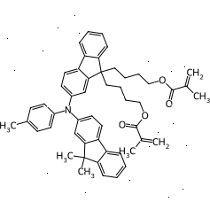 C=C(C)C(=O)OCCCCC1(CCCCOC(=O)C(=C)C)c2ccccc2-c2ccc(N(c3ccc(C)cc3)c3ccc4c(c3)C(C)(C)c3ccccc3-4)cc21